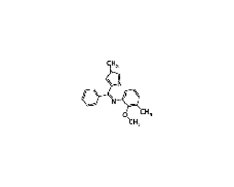 COc1c(C)cccc1N=C(c1ccccc1)c1cn(C)cn1